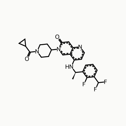 C[C@@H](Nc1ccnc2cc(=O)n(C3CCN(C(=O)C4CC4)CC3)cc12)c1cccc(C(F)F)c1F